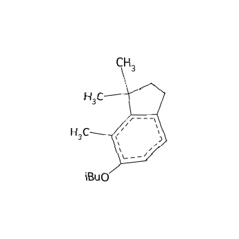 Cc1c(OCC(C)C)ccc2c1C(C)(C)CC2